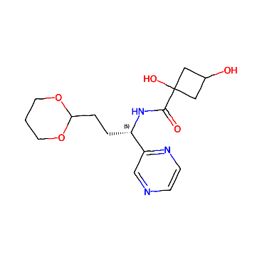 O=C(N[C@@H](CCC1OCCCO1)c1cnccn1)C1(O)CC(O)C1